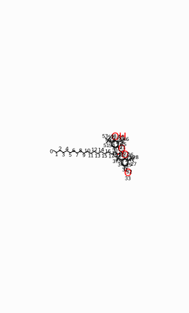 CCCCCCCCCCCCCCCCCCC(CC(=O)Oc1c(C(C)(C)C)cc(COC)cc1C(C)(C)C)c1cc(C(C)(C)C)c(O)c(C(C)(C)C)c1